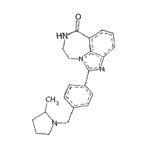 CC1CCCN1Cc1ccc(-c2nc3cccc4c3n2CCNC4=O)cc1